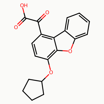 O=C(O)C(=O)c1ccc(OC2CCCC2)c2oc3ccccc3c12